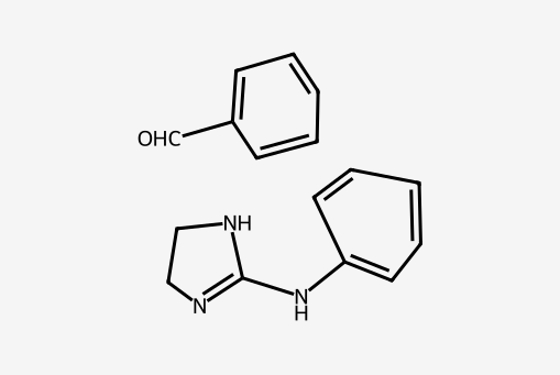 O=Cc1ccccc1.c1ccc(NC2=NCCN2)cc1